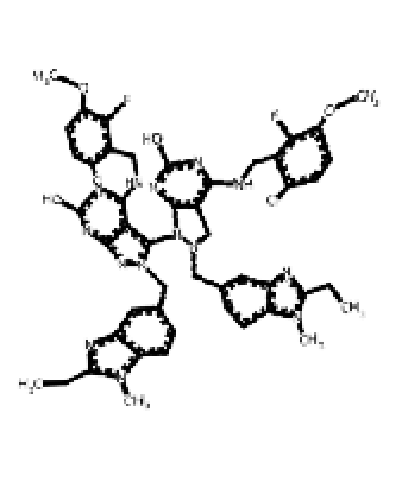 CCc1nc2cc(CN3Cc4c(NCc5c(Cl)ccc(OC)c5F)nc(O)nc4N3c3c4c(NCc5c(Cl)ccc(OC)c5F)nc(O)nc4nn3Cc3ccc4c(c3)nc(CC)n4C)ccc2n1C